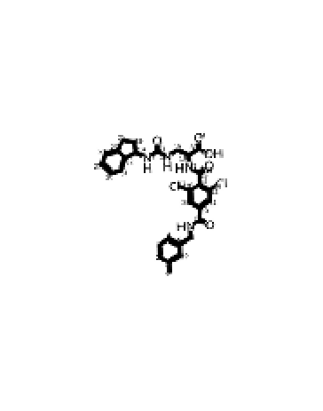 Cc1cccc(CNC(=O)c2cc(Cl)c(C(=O)NC(CNC(=O)NC3CCc4ccccc43)C(=O)O)c(Cl)c2)c1